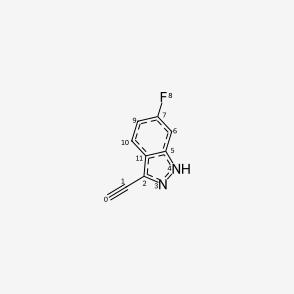 C#Cc1n[nH]c2cc(F)ccc12